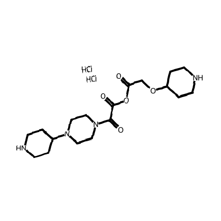 Cl.Cl.O=C(COC1CCNCC1)OC(=O)C(=O)N1CCN(C2CCNCC2)CC1